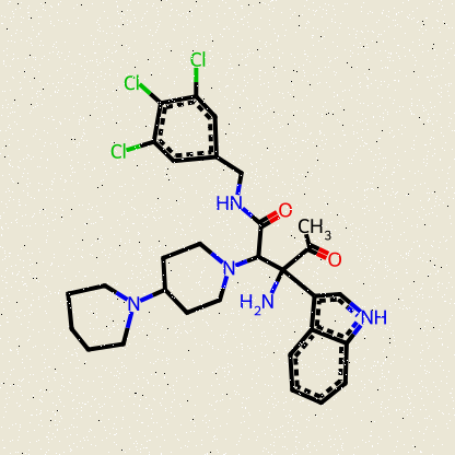 CC(=O)C(N)(c1c[nH]c2ccccc12)C(C(=O)NCc1cc(Cl)c(Cl)c(Cl)c1)N1CCC(N2CCCCC2)CC1